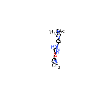 CC(=O)N(C)C1CCN(c2ccc(CNc3ccc(OCc4ccc(C(F)(F)F)nc4)nn3)cc2)CC1